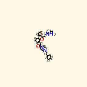 CNCCC(Oc1ccccc1CC(=O)N1CCN(CCc2ccccc2)CC1)c1cccs1